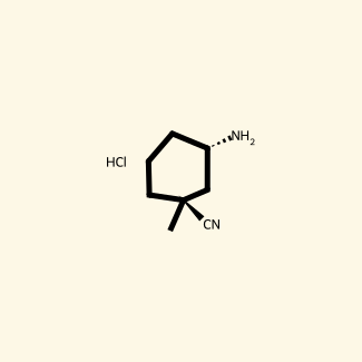 C[C@]1(C#N)CCC[C@H](N)C1.Cl